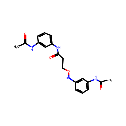 CC(=O)Nc1cccc(NOCCC(=O)Nc2cccc(NC(C)=O)c2)c1